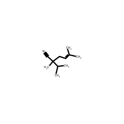 CC(C)=CCC(C)(C#N)C(C)C